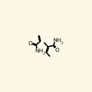 C=CC(N)=O.CC=C(C)C(N)=O